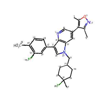 Cc1noc(C)c1-c1cnc2c(-c3ccc(C(=O)O)c(F)c3)cn(CC3CCC(C)(F)CC3)c2c1